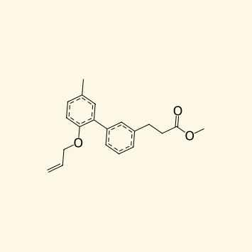 C=CCOc1ccc(C)cc1-c1cccc(CCC(=O)OC)c1